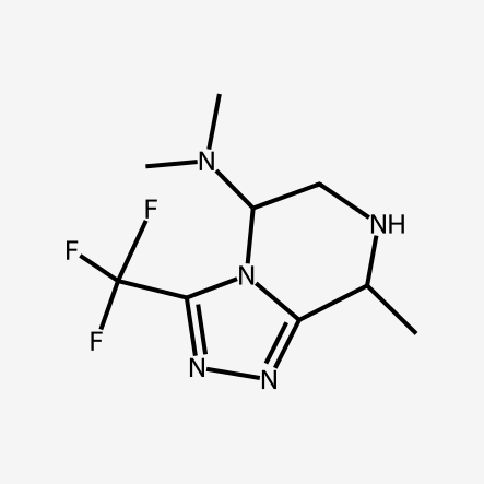 CC1NCC(N(C)C)n2c1nnc2C(F)(F)F